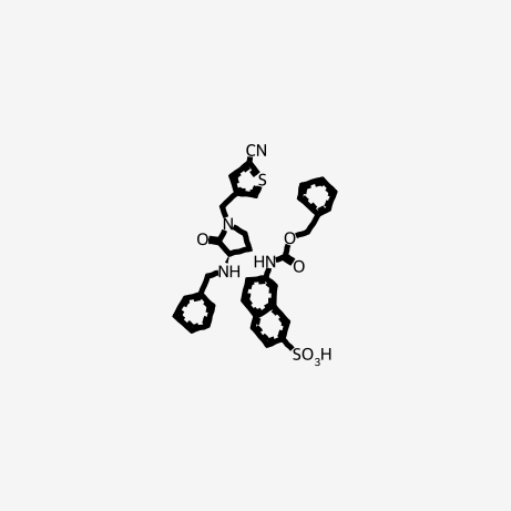 N#Cc1cc(CN2CC[C@H](NCc3ccccc3)C2=O)cs1.O=C(Nc1ccc2ccc(S(=O)(=O)O)cc2c1)OCc1ccccc1